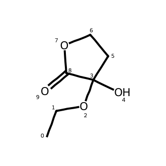 CCOC1(O)CCOC1=O